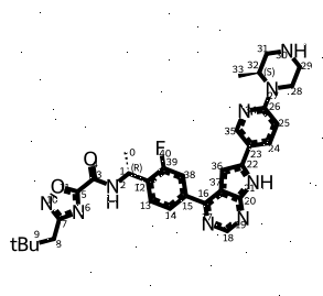 C[C@@H](NC(=O)c1nc(CC(C)(C)C)no1)c1ccc(-c2ncnc3[nH]c(-c4ccc(N5CCNC[C@@H]5C)nc4)cc23)cc1F